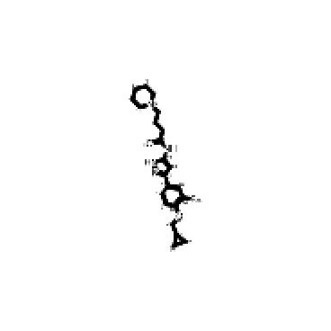 O=C(CCCN1CCCCC1)Nc1cc(-c2ccc(OCC3CC3)c(F)c2)n[nH]1